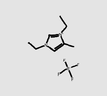 CCn1cc(C)[n+](CC)c1.F[B-](F)(F)F